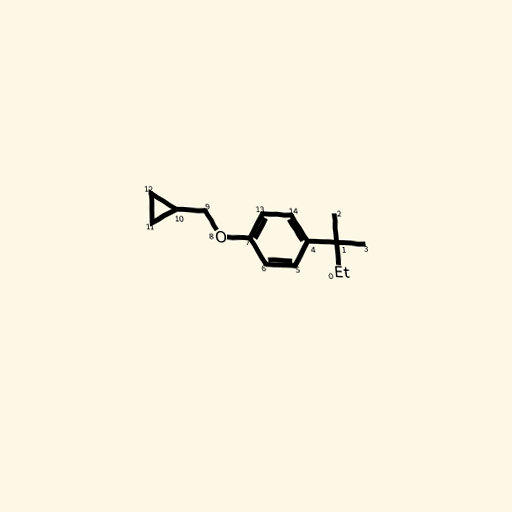 CCC(C)(C)c1ccc(OCC2CC2)cc1